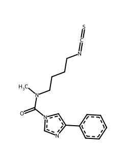 CN(CCCCN=C=S)C(=O)n1cnc(-c2ccccc2)c1